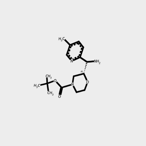 Cc1ccc(C(N)[C@H]2CN(C(=O)OC(C)(C)C)CCO2)nc1